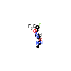 O=C(Cc1cc(F)cc(C(F)(F)F)c1)N1CCN2C[C@H](Oc3cnc(C4CC4)cn3)C[C@H]2C1